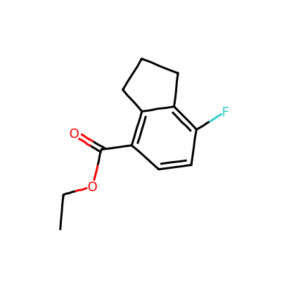 CCOC(=O)c1ccc(F)c2c1CCC2